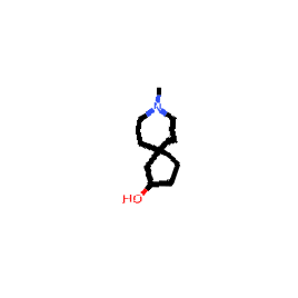 CN1CCC2(CCC(O)C2)CC1